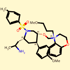 COCCC[N@@+]1(CO[C@H]2CN(S(=O)(=O)c3ccc(C)cc3)[C@@H](CC(C)N)C[C@@H]2c2ccc(OC)cc2)CCOc2ccccc21